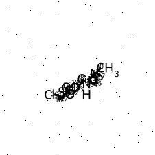 Cc1nc2cc(NC(=O)C3CCN(S(=O)(=O)c4ccc(Cl)s4)CC3)ccc2s1